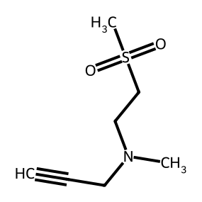 C#CCN(C)CCS(C)(=O)=O